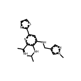 CC(=N)c1nc(-c2nccs2)cc(NCc2cnn(C)c2)c1NC(C)C